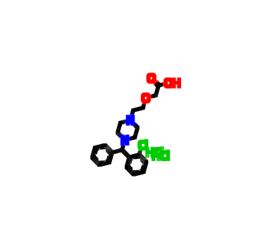 Cl.Cl.O=C(O)COCCN1CCN(C(c2ccccc2)c2ccccc2Cl)CC1